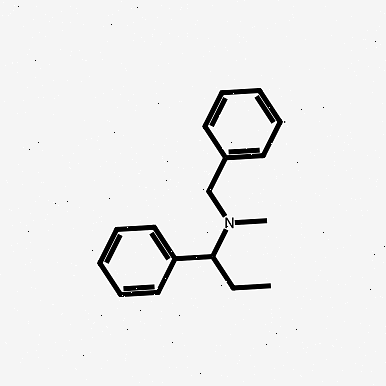 CCC(c1ccccc1)N(C)Cc1c[c]ccc1